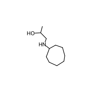 CC(O)CNC1CCCCCCC1